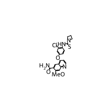 COc1cc2nccc(Oc3ccc(NC(=S)N4CCC4)c(Cl)c3)c2cc1C(N)=O